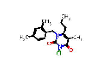 CCCc1c(C)c(=O)n(Cl)c(=O)n1Cc1ccc(C)cc1C